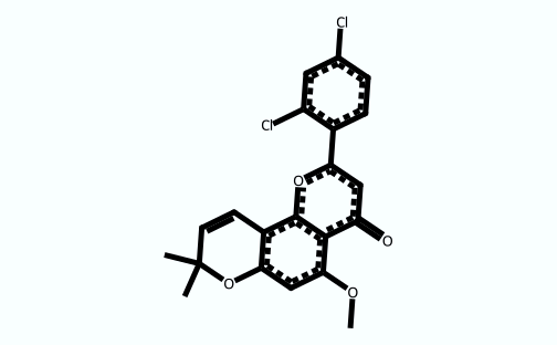 COc1cc2c(c3oc(-c4ccc(Cl)cc4Cl)cc(=O)c13)C=CC(C)(C)O2